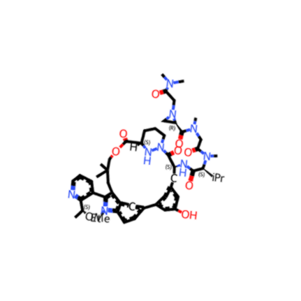 CCn1c(-c2cccnc2[C@H](C)OC)c2c3cc(ccc31)-c1cc(O)cc(c1)C[C@H](NC(=O)[C@H](C(C)C)N(C)C(=O)CN(C)C(=O)[C@H]1CN1CC(=O)N(C)C)C(=O)N1CCC[C@H](N1)C(=O)OCC(C)(C)C2